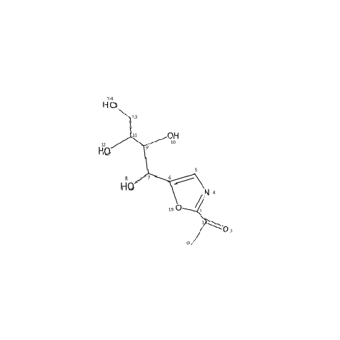 CC(=O)c1ncc(C(O)C(O)C(O)CO)o1